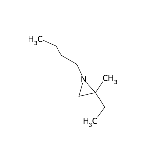 CCCCN1CC1(C)CC